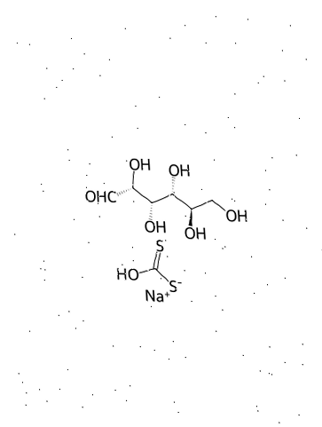 O=C[C@H](O)[C@@H](O)[C@H](O)[C@H](O)CO.OC(=S)[S-].[Na+]